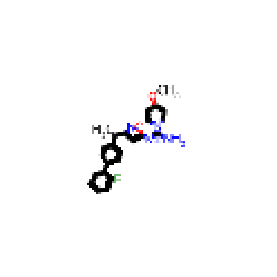 COC1CCN(/C(N)=N\c2cc(C(C)c3ccc(-c4ccccc4F)cc3)no2)CC1